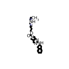 C/C=C\N/C=N/CCCOC(=O)N1Cc2cnc(NC3Cc4ccccc4C3)nc2C1